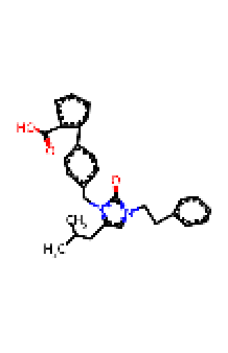 CC(C)Cc1cn(CCc2ccccc2)c(=O)n1Cc1ccc(-c2ccccc2C(=O)O)cc1